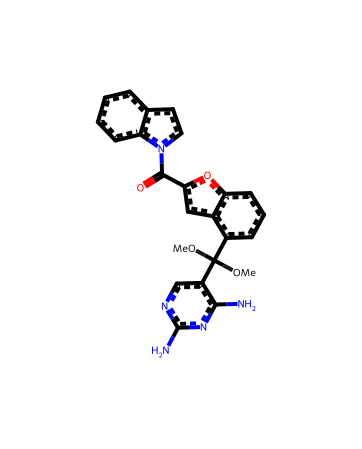 COC(OC)(c1cnc(N)nc1N)c1cccc2oc(C(=O)n3ccc4ccccc43)cc12